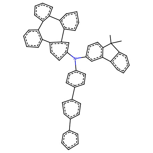 CC1(C)c2ccccc2-c2cc(N(c3ccc(-c4ccc(-c5ccccc5)cc4)cc3)c3ccc4c(c3)-c3ccccc3-c3ccccc3-c3ccccc3-4)ccc21